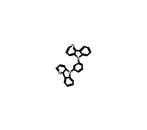 C1=CC2C(N=C1)c1ccccc1N2c1cccc(-n2c3ccccc3c3ncccc32)c1